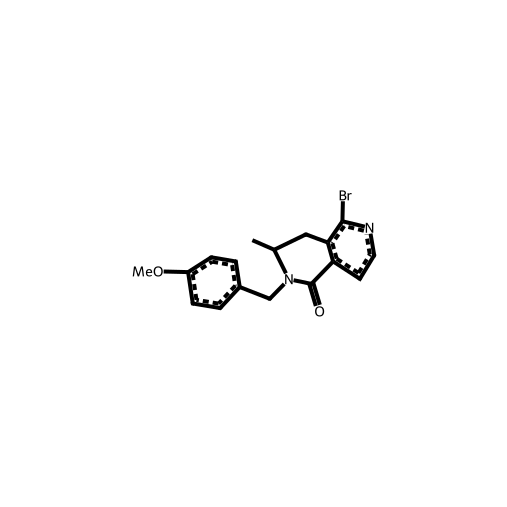 COc1ccc(CN2C(=O)c3ccnc(Br)c3CC2C)cc1